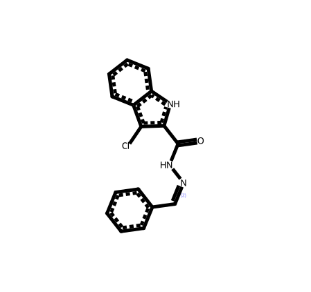 O=C(N/N=C\c1ccccc1)c1[nH]c2ccccc2c1Cl